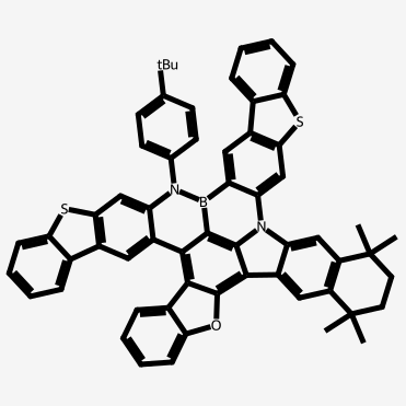 CC(C)(C)c1ccc(N2B3c4cc5c(cc4-n4c6cc7c(cc6c6c8oc9ccccc9c8c(c3c64)-c3cc4c(cc32)sc2ccccc24)C(C)(C)CCC7(C)C)sc2ccccc25)cc1